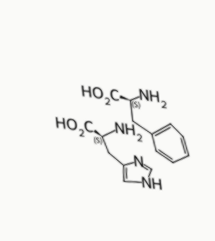 N[C@@H](Cc1c[nH]cn1)C(=O)O.N[C@@H](Cc1ccccc1)C(=O)O